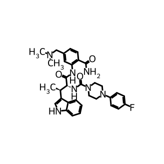 C[C@H](c1c[nH]c2ccccc12)[C@@H](NC(=O)N1CCN(c2ccc(F)cc2)CC1)C(=O)Nc1cc(CN(C)C)ccc1C(N)=O